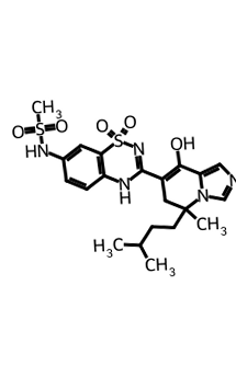 CC(C)CCC1(C)CC(C2=NS(=O)(=O)c3cc(NS(C)(=O)=O)ccc3N2)=C(O)c2cncn21